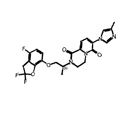 Cc1cn(-c2ccc3n(c2=O)CCN([C@@H](C)COc2ccc(F)c4c2OC(F)(F)C4)C3=O)cn1